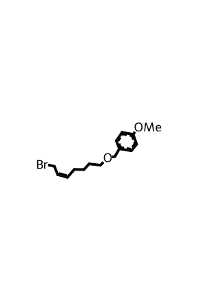 COc1ccc(COCCCC/C=C\CBr)cc1